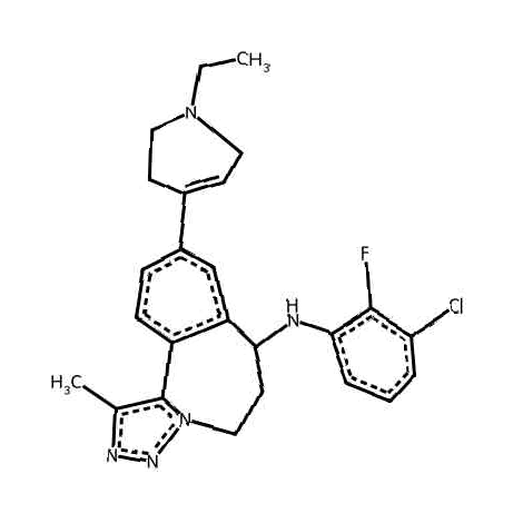 CCN1CC=C(c2ccc3c(c2)C(Nc2cccc(Cl)c2F)CCn2nnc(C)c2-3)CC1